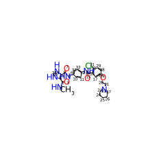 CNC(=O)C1=C(C(=O)Nc2ccc(NC(=O)c3cc(OCCN4CCCCC4)ccc3Cl)cc2)NCN1